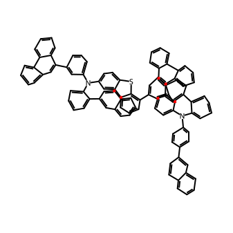 c1cc(-c2cc3ccccc3c3ccccc23)cc(N(c2ccc(-c3ccc4ccccc4c3)cc2)c2ccccc2-c2ccc3ccc(-c4cccc5c4sc4ccc(N(c6cccc(-c7cc8ccccc8c8ccccc78)c6)c6ccccc6-c6ccc7ccccc7c6)cc45)cc3c2)c1